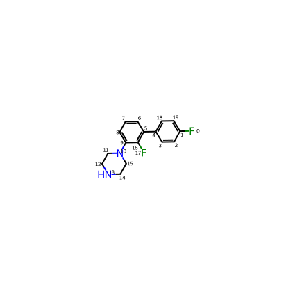 Fc1ccc(-c2cccc(N3CCNCC3)c2F)cc1